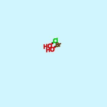 OBr.OCl